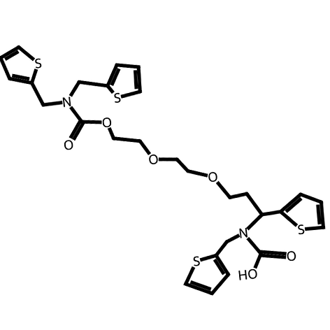 O=C(OCCOCCOCCC(c1cccs1)N(Cc1cccs1)C(=O)O)N(Cc1cccs1)Cc1cccs1